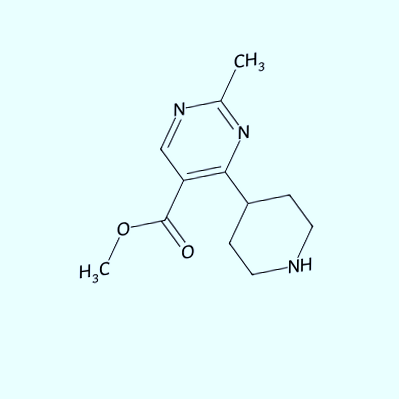 COC(=O)c1cnc(C)nc1C1CCNCC1